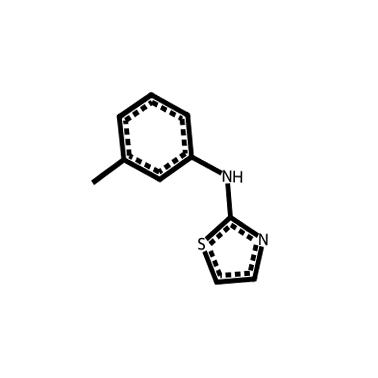 Cc1cccc(Nc2nccs2)c1